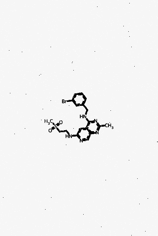 Cc1nc(NCc2cccc(Br)c2)c2cc(NCCS(C)(=O)=O)ncc2n1